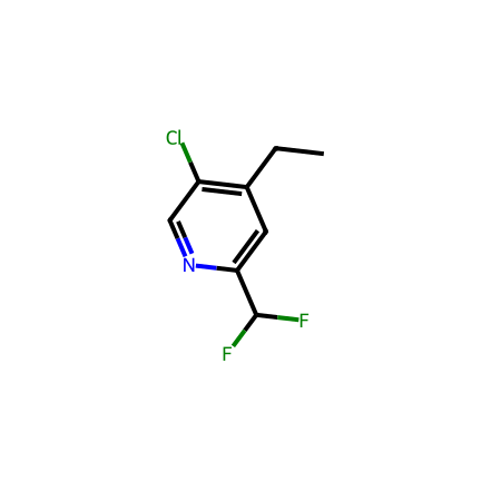 CCc1cc(C(F)F)ncc1Cl